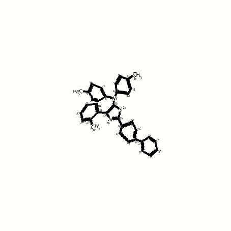 Cc1ccc(N(c2ccc(C)cc2)c2sc(-c3ccc(-c4ccccc4)cc3)nc2-c2ccccc2C)cc1